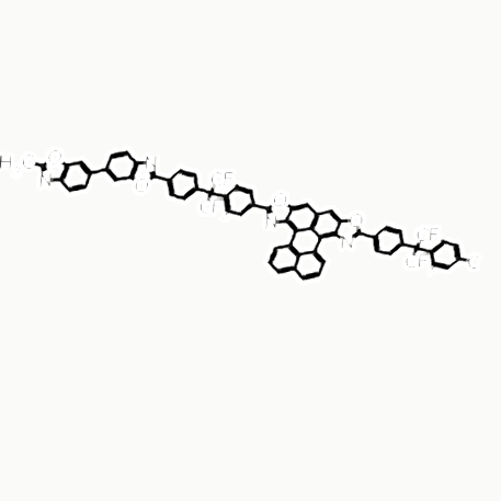 Cc1ccc(C(c2ccc(-c3nc4c(cc5cc6oc(-c7ccc(C(c8ccc(-c9nc%10ccc(-c%11ccc%12nc(C)oc%12c%11)cc%10o9)cc8)(C(F)(F)F)C(F)(F)F)cc7)nc6c6c7cccc8cccc(c87)c4c56)o3)cc2)(C(F)(F)F)C(F)(F)F)cc1